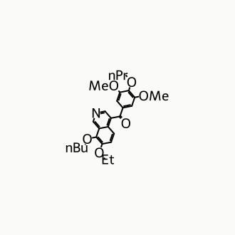 CCCCOc1c(OCC)ccc2c(C(=O)c3cc(OC)c(OCCC)c(OC)c3)cncc12